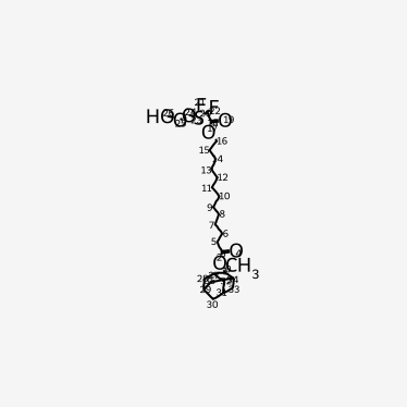 CC1(OC(=O)CCCCCCCCCCCCOC(=O)C(F)(F)SOOO)C2CC3CC(C2)CC1C3